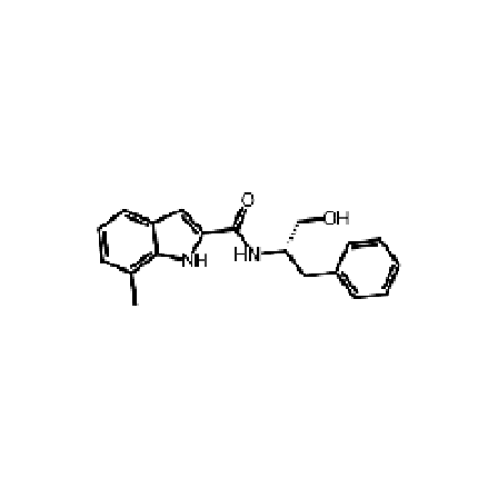 Cc1cccc2cc(C(=O)N[C@H](CO)Cc3ccccc3)[nH]c12